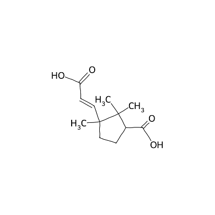 CC1(/C=C/C(=O)O)CCC(C(=O)O)C1(C)C